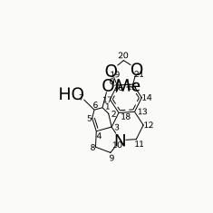 COC1CC23C(=CC1O)CCN2CCc1cc2c(cc13)OCO2